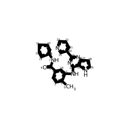 Cc1ccc(C(=O)Nc2ccccc2)cc1Nc1nc(-c2cccnc2)nc2cc[nH]c12